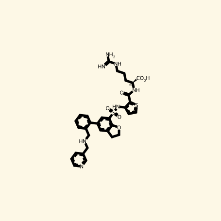 N=C(N)NCCC[C@H](NC(=O)c1sccc1NS(=O)(=O)c1cc(-c2ccccc2CNCc2cccnc2)cc2c1OCC2)C(=O)O